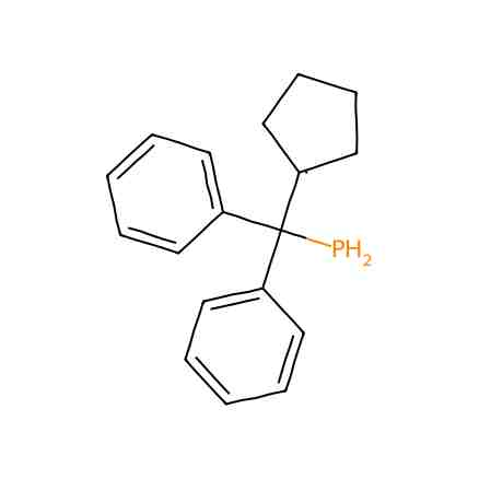 PC([C]1CCCC1)(c1ccccc1)c1ccccc1